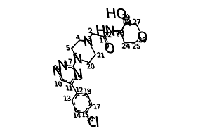 O=C(CN1CCN(c2nncc(-c3ccc(Cl)cc3)n2)CC1)N[C@@H]1CCOC[C@H]1O